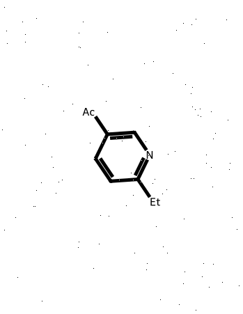 CCc1ccc(C(C)=O)cn1